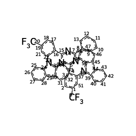 FC(F)(F)c1ccc(-c2nc(-c3ccccc3)nc(-c3ccc(C(F)(F)F)cc3-n3c4ccccc4c4ccccc43)n2)c(-n2c3ccccc3c3ccccc32)c1